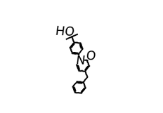 CC(C)(O)c1ccc(-n2ccc(Cc3ccccc3)cc2=O)cc1